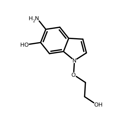 Nc1cc2ccn(OCCO)c2cc1O